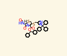 O=CN[C@@H]1C(=O)N2C(C(=O)OC(c3ccccc3)c3ccccc3)=C(SCc3cnn(C(c4ccccc4)(c4ccccc4)c4ccccc4)c3)CS[C@H]12